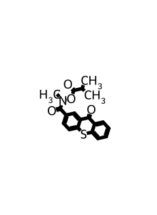 CC(C)C(=O)ON(C)C(=O)c1ccc2sc3ccccc3c(=O)c2c1